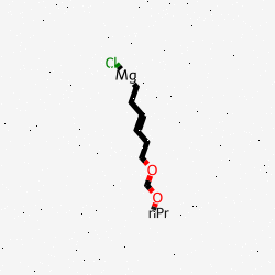 CCCOCOCC/C=C/C[CH2][Mg][Cl]